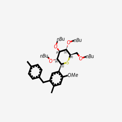 CCCCOC[C@H]1S[C@@H](c2cc(Cc3ccc(C)cc3)c(C)cc2OC)[C@H](OCCCC)[C@@H](OCCCC)[C@@H]1OCCCC